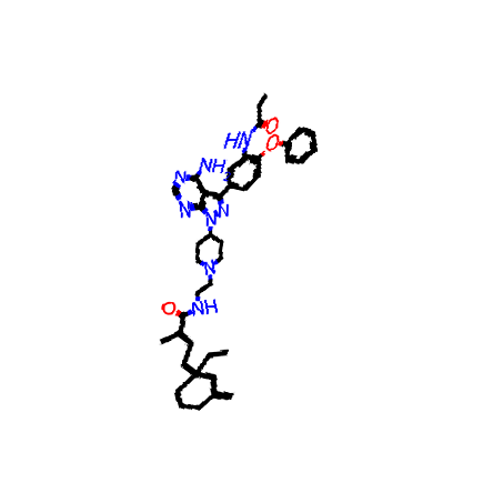 C=C1CCCC(CC)(CCC(C)C(=O)NCCN2CCC(n3nc(-c4ccc(Oc5ccccc5)c(NC(=O)CC)c4)c4c(N)ncnc43)CC2)C1